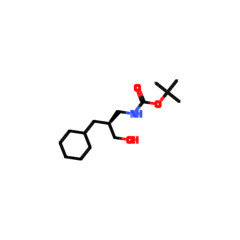 CC(C)(C)OC(=O)NC[C@@H](CO)CC1CCCCC1